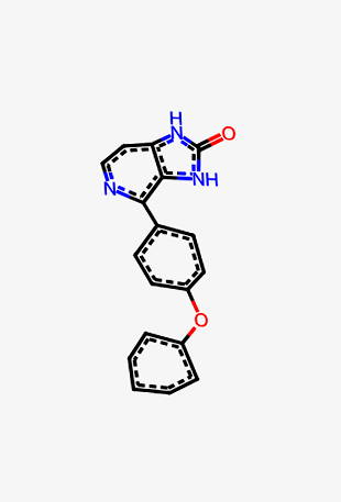 O=c1[nH]c2ccnc(-c3ccc(Oc4ccccc4)cc3)c2[nH]1